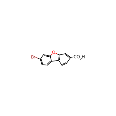 O=C(O)c1ccc2c(c1)oc1cc(Br)ccc12